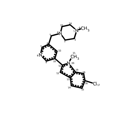 CN1CCN(Cc2cncc(-c3cc4ccc(Cl)cc4n3C)c2)CC1